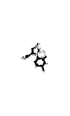 Cc1ccc(N2C(C#N)=CN(C)[C@@H]2C)c(C)c1